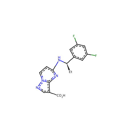 CC[C@@H](Nc1ccn2ncc(C(=O)O)c2n1)c1cc(F)cc(F)c1